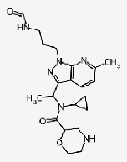 Cc1ccc2c(C(C)N(C(=O)C3CNCCO3)C3CC3)nn(CCCNC=O)c2n1